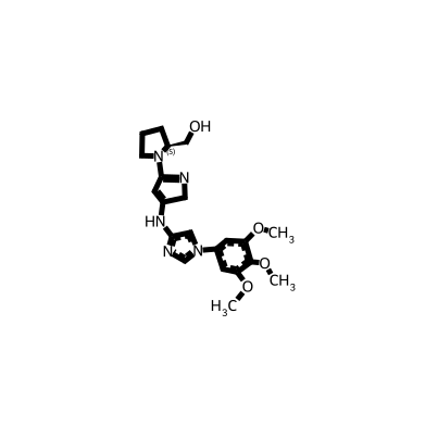 COc1cc(-n2cnc(NC3=CC(N4CCC[C@H]4CO)=NC3)c2)cc(OC)c1OC